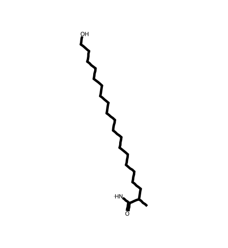 CC(CCCCCCCCCCCCCCCCCCO)C([NH])=O